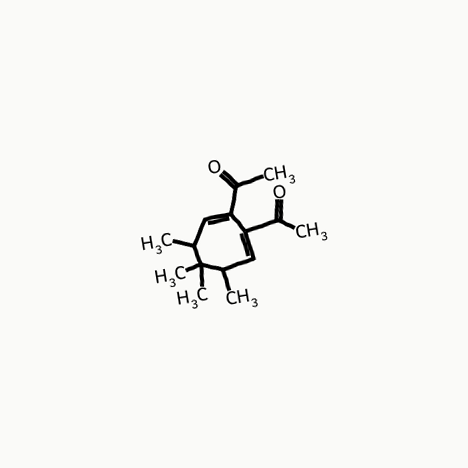 CC(=O)C1=CC(C)C(C)(C)C(C)C=C1C(C)=O